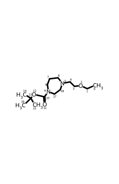 CCOCCN1CCCN(C(=O)OC(C)(C)C)CC1